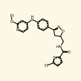 CCOc1cc(Nc2ccc(C3=NOC(CNC(=O)c4ccc(Cl)s4)C3)cc2)ccn1